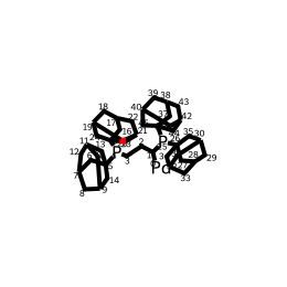 [Pd][CH](CCP(C12CC3CC(CC(C3)C1)C2)C12CC3CC(CC(C3)C1)C2)P(C12CC3CC(CC(C3)C1)C2)C12CC3CC(CC(C3)C1)C2